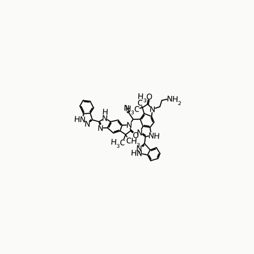 CC1(C)C(=O)N(C(C#N)c2c3c(cc4[nH]c(-c5n[nH]c6ccccc56)nc24)N(CCN)C(=O)C3(C)C)c2cc3[nH]c(-c4n[nH]c5ccccc45)nc3cc21